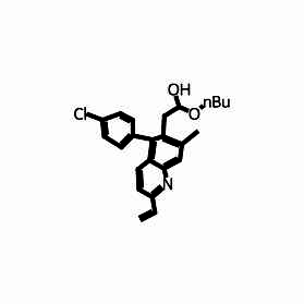 C=Cc1ccc2c(-c3ccc(Cl)cc3)c(CC(O)OCCCC)c(C)cc2n1